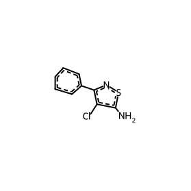 Nc1snc(-c2ccccc2)c1Cl